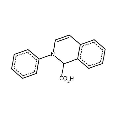 O=C(O)C1c2ccccc2C=CN1c1ccccc1